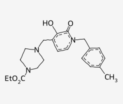 CCOC(=O)N1CCN(Cc2ccn(Cc3ccc(C)cc3)c(=O)c2O)CC1